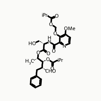 COc1ccnc(C(=O)N[C@@H](CO)C(=O)O[C@@H](C)[C@H](OC(=O)C(C)C)[C@H](C=O)Cc2ccccc2)c1OCOC(=O)C(C)C